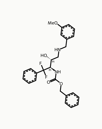 COc1cccc(CNC[C@@H](O)[C@@H](NC(=O)OCc2ccccc2)C(F)(F)c2ccccc2)c1